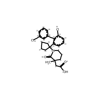 CC1(CC(=O)O)CCCN(C2(c3cccc(Cl)c3-c3cccc(Cl)c3)CCCC2)C1=O